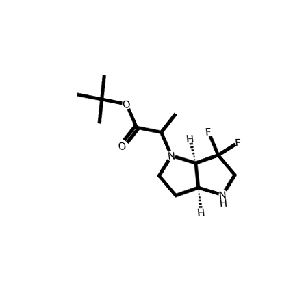 CC(C(=O)OC(C)(C)C)N1CC[C@@H]2NCC(F)(F)[C@@H]21